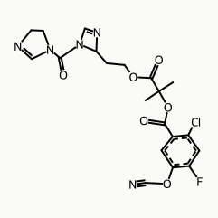 CC(C)(OC(=O)c1cc(OC#N)c(F)cc1Cl)C(=O)OCCC1N=CN1C(=O)N1C=NCC1